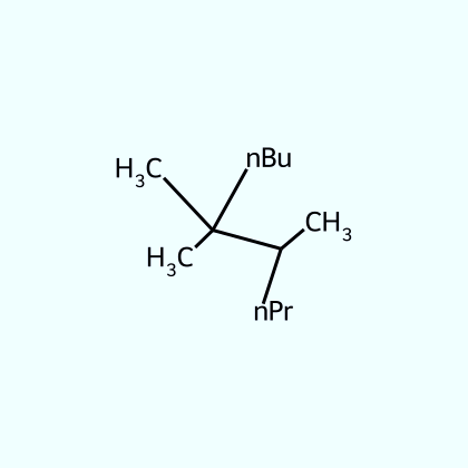 [CH2]CCC(C)C(C)(C)CCCC